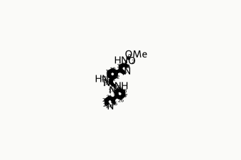 COC(=O)Nc1cncc(-c2ccc3[nH]nc(-c4nc5c(-c6cccnc6)cccc5[nH]4)c3c2)c1